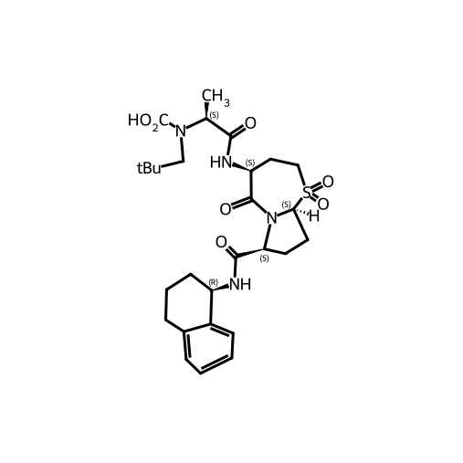 C[C@@H](C(=O)N[C@H]1CCS(=O)(=O)[C@H]2CC[C@@H](C(=O)N[C@@H]3CCCc4ccccc43)N2C1=O)N(CC(C)(C)C)C(=O)O